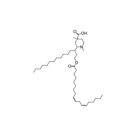 CCCCC/C=C\C/C=C\CCCCCCCC(=O)OCCC(CCCCCCCCCCCC)C1CC(C)(C(=O)O)CCN1C